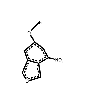 CC(C)Oc1cc([N+](=O)[O-])c2cocc2c1